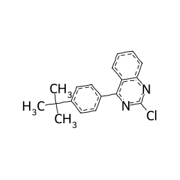 CC(C)(C)c1ccc(-c2nc(Cl)nc3ccccc23)cc1